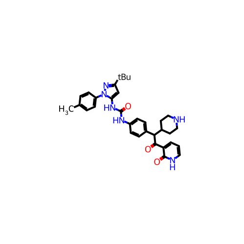 Cc1ccc(-n2nc(C(C)(C)C)cc2NC(=O)Nc2ccc(C(C(=O)c3ccc[nH]c3=O)C3CCNCC3)cc2)cc1